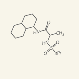 CCCS(=O)(=O)NC(C)C(=O)NC1CCCC2CCCCC21